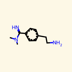 CN(C)C(=N)c1ccc(CCN)cc1